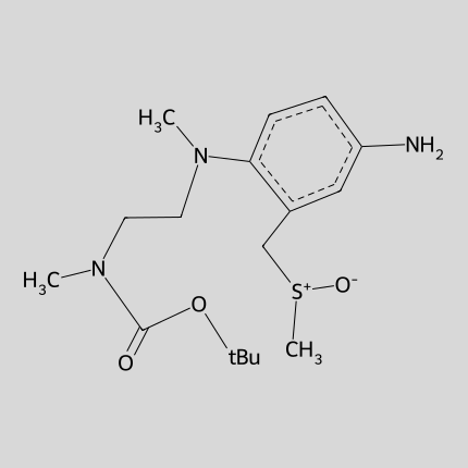 CN(CCN(C)c1ccc(N)cc1C[S+](C)[O-])C(=O)OC(C)(C)C